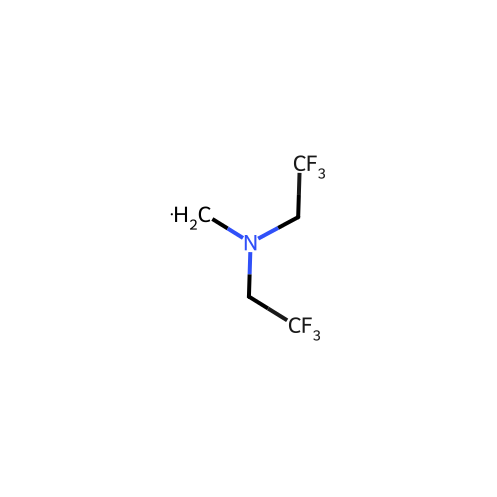 [CH2]N(CC(F)(F)F)CC(F)(F)F